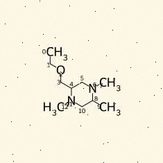 CCOCC1CN(C)C(C)CN1C